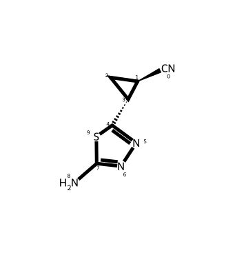 N#C[C@@H]1C[C@H]1c1nnc(N)s1